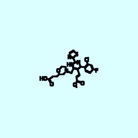 COC(=O)/C=C/C1=C(CN2CCO[C@H](CCC(=O)O)C2)NC(c2nccs2)=NC1c1ccc(F)cc1Cl